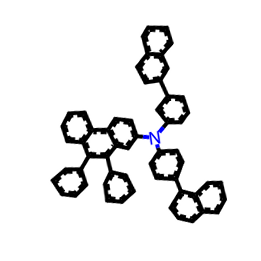 c1ccc(-c2c(-c3ccccc3)c3cc(N(c4ccc(-c5cccc6ccccc56)cc4)c4cccc(-c5ccc6ccccc6c5)c4)ccc3c3ccccc23)cc1